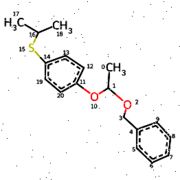 CC(OCc1ccccc1)Oc1ccc(SC(C)C)cc1